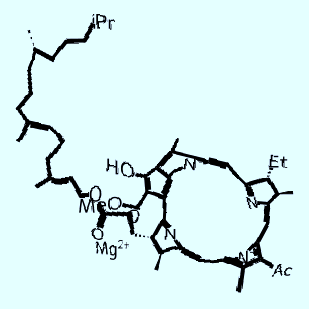 CC[C@H]1c2cc3[n-]c4c(c5nc(cc6[n-]c(cc(n2)[C@@H]1C)c(C(C)=O)c6C)[C@@H](C)[C@@H]5CCC(=O)OC/C=C(\C)CC/C=C(\C)CCC[C@H](C)CCCC(C)C)C(C(=O)OC)=C(O)c4c3C.[Mg+2]